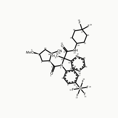 CO[C@@H]1C[C@H](C(=O)N(c2ccc(S(F)(F)(F)(F)F)cc2)C(C)(C(=O)NC2CCC(F)(F)CC2)c2cnccn2)N(C#N)C1